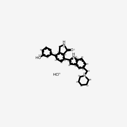 Cl.O=C1NCc2c(-c3cccc(O)c3)ccc(-c3cc4cc(CN5CCCCC5)ccc4[nH]3)c21